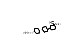 CCCCCCC[C@H]1CC[C@H](C2CCC(C3CCCC(C#N)(CCCC)C3)CC2)CC1